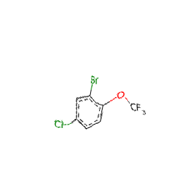 FC(F)(F)Oc1ccc(Cl)cc1Br